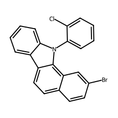 Clc1ccccc1-n1c2ccccc2c2ccc3ccc(Br)cc3c21